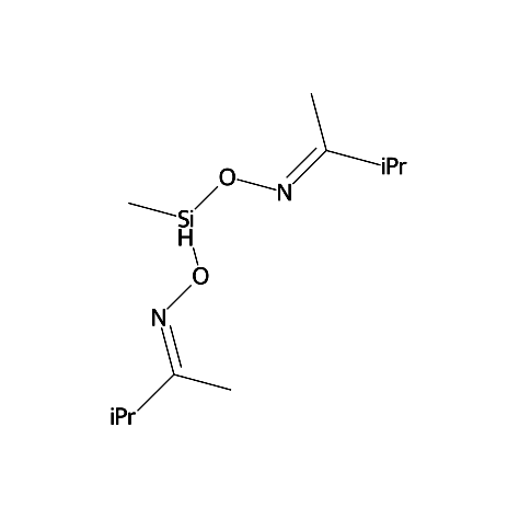 CC(=NO[SiH](C)ON=C(C)C(C)C)C(C)C